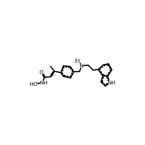 CCN(CCc1cccc2[nH]ccc12)Cc1ccc(/C(C)=C/C(=O)NO)cc1